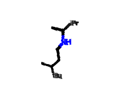 CC(C)[C@H](C)NCC[C@H](C)C(C)(C)C